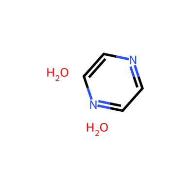 O.O.c1cnccn1